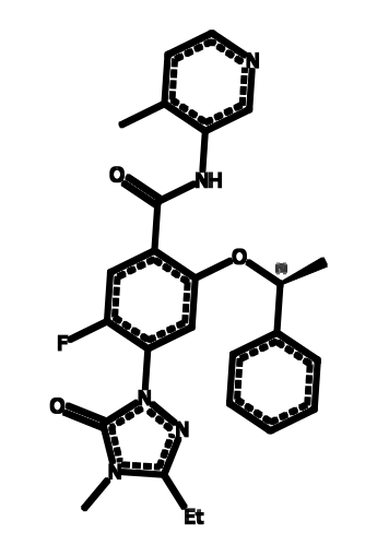 CCc1nn(-c2cc(O[C@@H](C)c3ccccc3)c(C(=O)Nc3cnccc3C)cc2F)c(=O)n1C